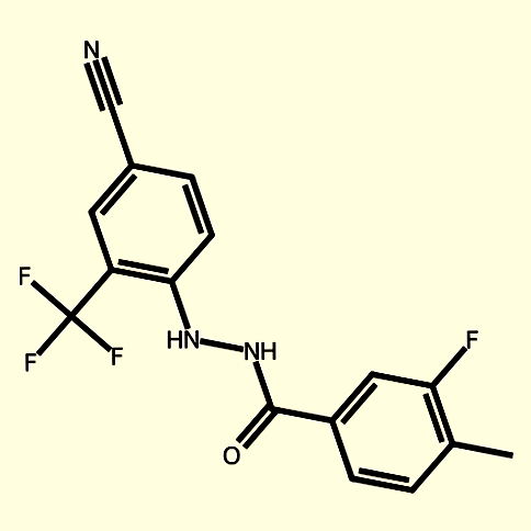 Cc1ccc(C(=O)NNc2ccc(C#N)cc2C(F)(F)F)cc1F